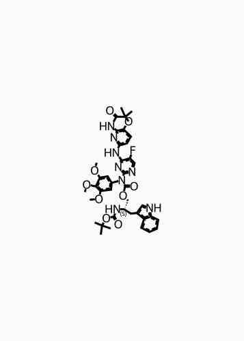 COc1cc(N(C(=O)OC[C@H](Cc2c[nH]c3ccccc23)NC(=O)OC(C)(C)C)c2ncc(F)c(Nc3ccc4c(n3)NC(=O)C(C)(C)O4)n2)cc(OC)c1OC